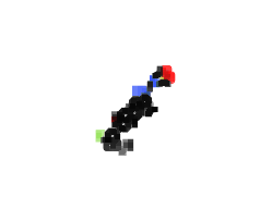 C=C(C)[C@@H]1C[C@@H](NCCN2CC(C)S(=O)(=O)C(C)C2)C2CC[C@]3(C)[C@H](CC[C@@H]4[C@@]5(C)CC=C(C6=CC[C@](CF)(C(=O)O)CC6)C(C)(C)[C@@H]5CC[C@]43C)[C@H]21